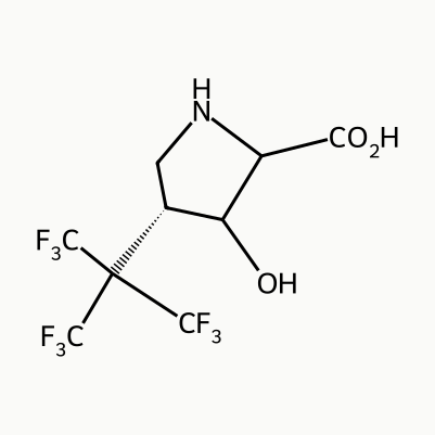 O=C(O)C1NC[C@@H](C(C(F)(F)F)(C(F)(F)F)C(F)(F)F)C1O